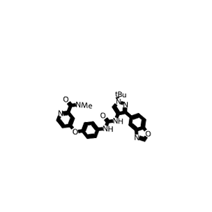 CNC(=O)c1cc(Oc2ccc(NC(=O)Nc3cn(C(C)(C)C)nc3-c3ccc4ocnc4c3)cc2)ccn1